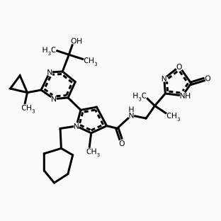 Cc1c(C(=O)NCC(C)(C)c2noc(=O)[nH]2)cc(-c2cc(C(C)(C)O)nc(C3(C)CC3)n2)n1CC1CCCCC1